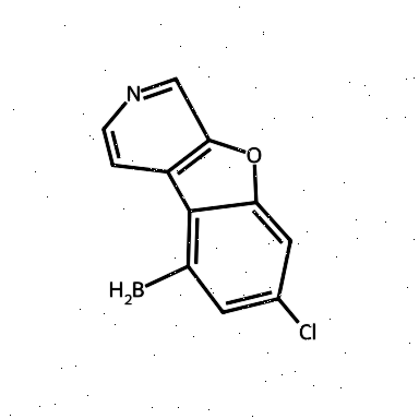 Bc1cc(Cl)cc2oc3cnccc3c12